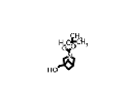 CC(C)(C)OC(=O)N1CC2CC(CO)(C2)C1